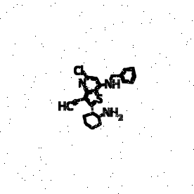 C#Cc1c([C@H]2CCCC[C@@H]2N)sc2c(NCc3ccccc3)cc(Cl)nc12